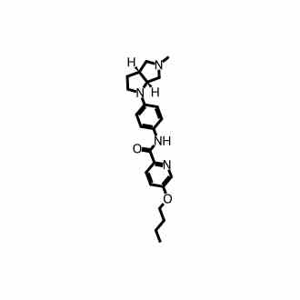 CCCCOc1ccc(C(=O)Nc2ccc(N3CC[C@@H]4CN(C)C[C@@H]43)cc2)nc1